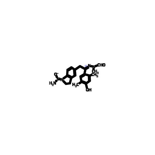 Cc1cc(/C(Cc2ccc3c(c2)CCN3[S+](N)[O-])=N\N(C)C=O)c(C)cc1O